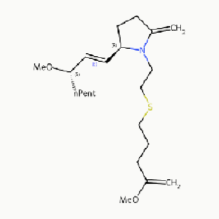 C=C(CCCSCCN1C(=C)CC[C@@H]1/C=C/[C@H](CCCCC)OC)OC